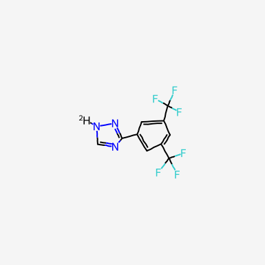 [2H]n1cnc(-c2cc(C(F)(F)F)cc(C(F)(F)F)c2)n1